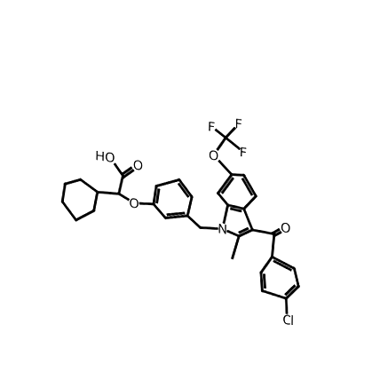 Cc1c(C(=O)c2ccc(Cl)cc2)c2ccc(OC(F)(F)F)cc2n1Cc1cccc(OC(C(=O)O)C2CCCCC2)c1